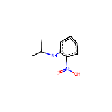 CC(C)Nc1ccccc1[N+](=O)O